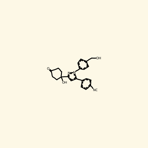 [C-]#[N+]c1ccc(-c2cc(C3(O)CCC(=O)CC3)nn2-c2ccc(CO)cc2)cc1